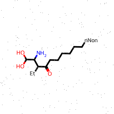 CCCCCCCCCCCCCCCC(=O)C(CC)C(N)C(O)O